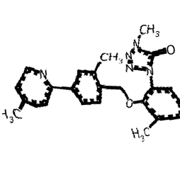 Cc1ccnc(-c2ccc(COc3c(C)cccc3-n3nnn(C)c3=O)c(C)c2)c1